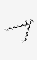 [CH2]CN(CCOCCOCC)C(=O)NCCOCCOCC